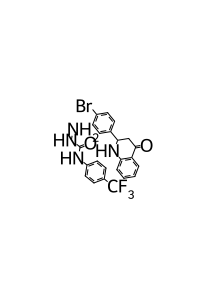 NNC(=O)Nc1ccc(C(F)(F)F)cc1.O=C1CC(c2ccc(Br)cc2)Nc2ccccc21